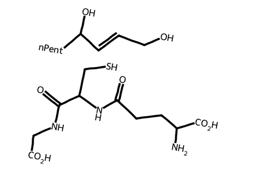 CCCCCC(O)C=CCO.NC(CCC(=O)NC(CS)C(=O)NCC(=O)O)C(=O)O